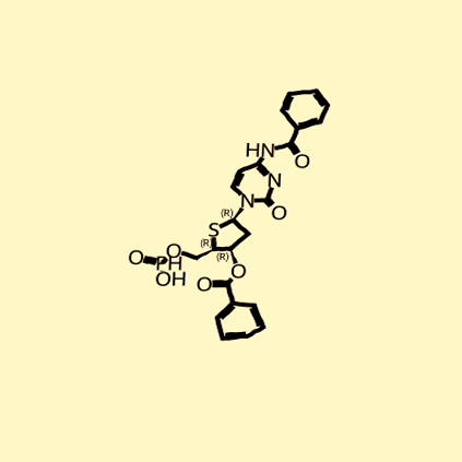 O=C(Nc1ccn([C@H]2C[C@@H](OC(=O)c3ccccc3)[C@@H](CO[PH](=O)O)S2)c(=O)n1)c1ccccc1